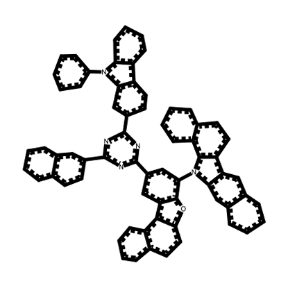 c1ccc(-n2c3ccccc3c3ccc(-c4nc(-c5ccc6ccccc6c5)nc(-c5cc(-n6c7cc8ccccc8cc7c7ccc8ccccc8c76)c6oc7ccc8ccccc8c7c6c5)n4)cc32)cc1